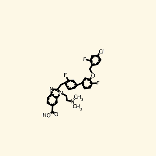 CN(C)CCn1c(Cc2ccc(-c3ccc(F)c(OCc4ccc(Cl)cc4F)c3)cc2F)nc2ccc(C(=O)O)cc21